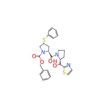 O=C(OCc1ccccc1)N1C[C@H](Sc2ccccc2)C[C@H]1C(=O)N1CCC[C@H]1C(O)c1nccs1